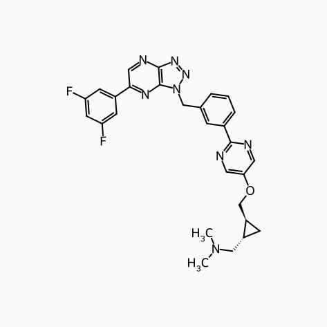 CN(C)C[C@H]1C[C@@H]1COc1cnc(-c2cccc(Cn3nnc4ncc(-c5cc(F)cc(F)c5)nc43)c2)nc1